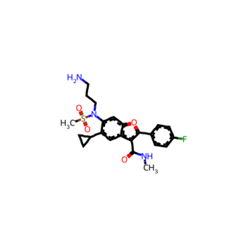 CNC(=O)c1c(-c2ccc(F)cc2)oc2cc(N(CCCN)S(C)(=O)=O)c(C3CC3)cc12